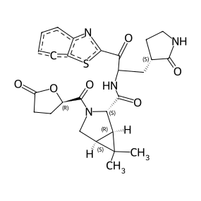 CC1(C)[C@@H]2[C@@H](C(=O)NC(C[C@@H]3CCNC3=O)C(=O)c3nc4ccccc4s3)N(C(=O)[C@H]3CCC(=O)O3)C[C@@H]21